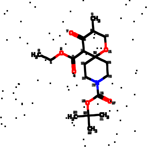 CCOC(=O)C1C(=O)C(C)COC12CCN(C(=O)OC(C)(C)C)CC2